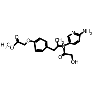 COC(=O)COc1ccc(CC(C)N(C(=O)CO)c2ccc(N)nc2)cc1